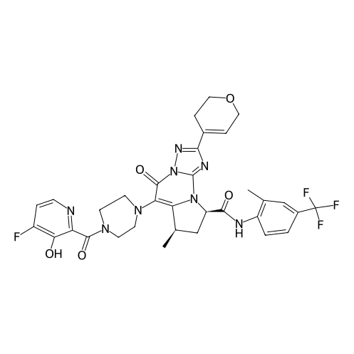 Cc1cc(C(F)(F)F)ccc1NC(=O)[C@H]1C[C@@H](C)c2c(N3CCN(C(=O)c4nccc(F)c4O)CC3)c(=O)n3nc(C4=CCOCC4)nc3n21